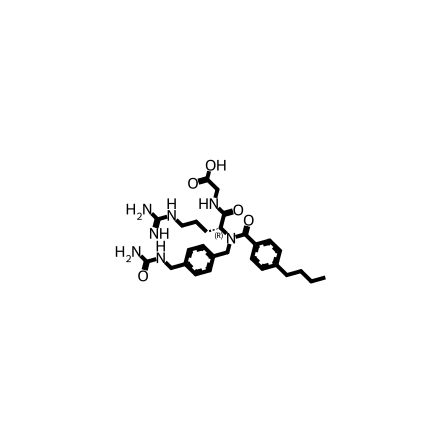 CCCCc1ccc(C(=O)N(Cc2ccc(CNC(N)=O)cc2)[C@H](CCCNC(=N)N)C(=O)NCC(=O)O)cc1